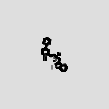 O=S(=O)(CCC1CC(c2ccccc2)=CCN1)Cc1c[nH]c2ccccc12